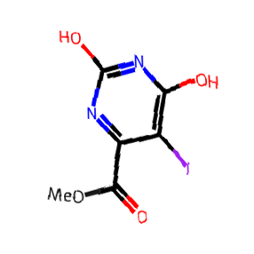 COC(=O)c1nc(O)nc(O)c1I